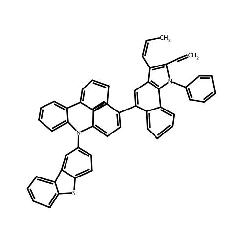 C=Cc1c(/C=C\C)c2cc(-c3ccc(N(c4ccc5sc6ccccc6c5c4)c4ccccc4-c4ccccc4)cc3)c3ccccc3c2n1-c1ccccc1